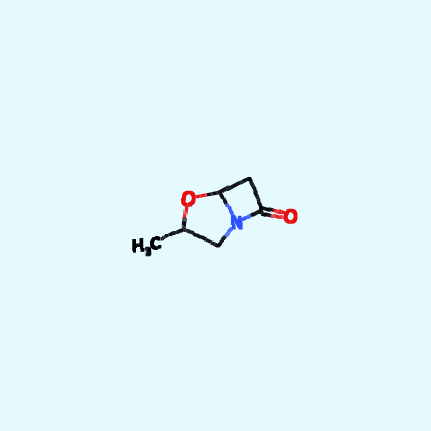 CC1CN2C(=O)CC2O1